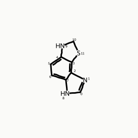 c1nc2c3c(ccc2[nH]1)NCS3